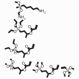 C=CC(=O)OC(C)CC[SiH](OC)OC.C=CC(=O)OC(C)CC[SiH](OCC)OCC.C=CC(=O)OC(C)CC[Si](OC)(OC)OC.C=CC(=O)OC(C)CC[Si](OCC)(OCC)OCC.C=C[Si](OC)(OC)OC.CO[Si](C)(CCCCCN)OCN